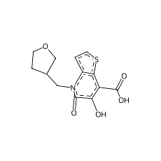 O=C(O)c1c(O)c(=O)n(CC2CCOC2)c2ccsc12